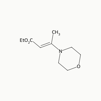 CCOC(=O)C=C(C)N1CCOCC1